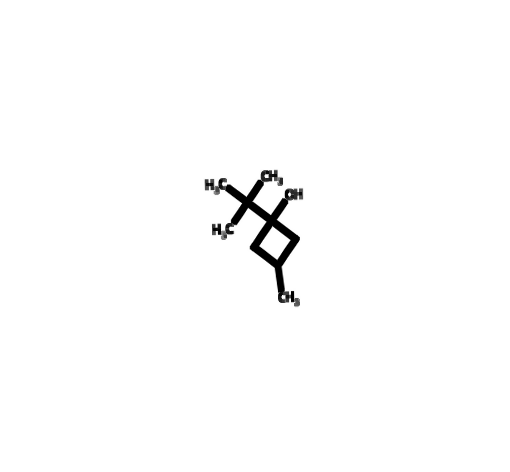 CC1CC(O)(C(C)(C)C)C1